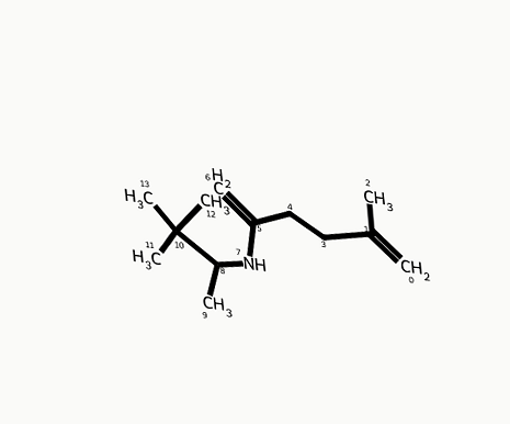 C=C(C)CCC(=C)NC(C)C(C)(C)C